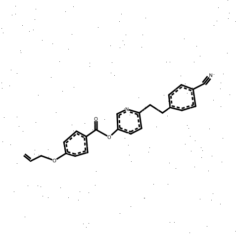 C=CCOc1ccc(C(=O)Oc2ccc(CCc3ccc(C#N)cc3)nc2)cc1